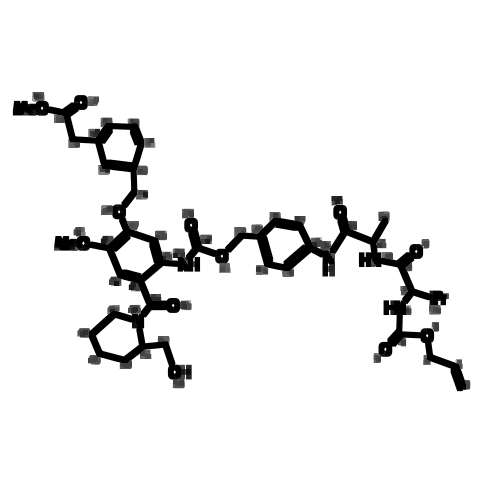 C=CCOC(=O)NC(C(=O)NC(C)C(=O)Nc1ccc(COC(=O)Nc2cc(OCc3cccc(CC(=O)OC)c3)c(OC)cc2C(=O)N2CCCCC2CO)cc1)C(C)C